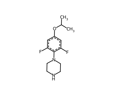 CC(C)Oc1cc(F)c(N2CCNCC2)c(F)c1